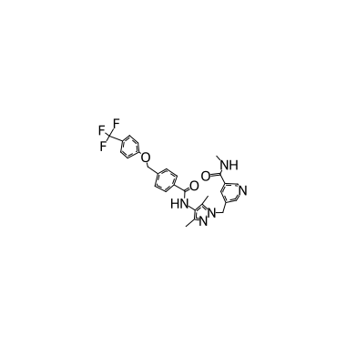 CNC(=O)c1cncc(Cn2nc(C)c(NC(=O)c3ccc(COc4ccc(C(F)(F)F)cc4)cc3)c2C)c1